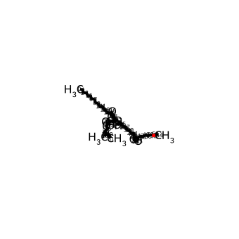 CCCCCCCCCCCCCCCC(=O)OCC(COP(=O)(O)OCCN(C)CC)OC(=O)CCCCCCCC1OCOC1CCCCCCCC